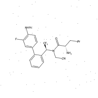 CC(=O)Nc1ccc(-c2ccccc2[C@H](N(CC#N)C(=O)[C@@H](N)CC(C)C)C(F)(F)F)cc1F